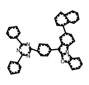 c1ccc(-c2nc(-c3ccccc3)nc(-c3ccc(-c4c5cc(-c6cccc7ccccc67)ccc5n5c4oc4ccccc45)cc3)n2)cc1